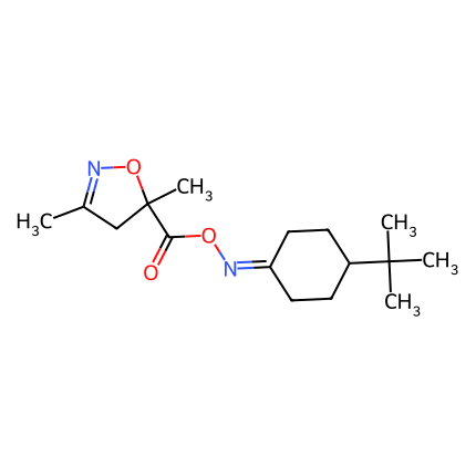 CC1=NOC(C)(C(=O)ON=C2CCC(C(C)(C)C)CC2)C1